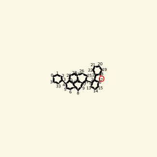 c1ccc(-c2ccc3ccc4c(-c5cccc6oc7ccccc7c56)ccc5ccc2c3c54)cc1